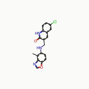 Cc1c(NCc2cc3cc(Cl)ccc3[nH]c2=O)ccc2ocnc12